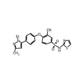 CCn1nc(C)cc1-c1ccc(Oc2ccc(S(=O)(=O)Nc3nccs3)cc2C#N)cc1